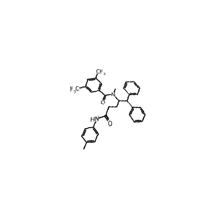 Cc1ccc(NC(=O)CCC(C(c2ccccc2)c2ccccc2)N(C)C(=O)c2cc(C(F)(F)F)cc(C(F)(F)F)c2)cc1